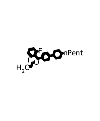 C=CCOC(c1ccc(C2CCC(CCCCC)CC2)cc1)c1c(F)cccc1F